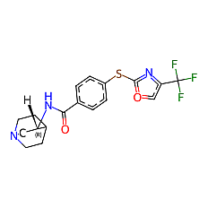 O=C(N[C@H]1CN2CCC1CC2)c1ccc(Sc2nc(C(F)(F)F)co2)cc1